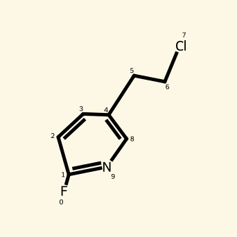 Fc1ccc(CCCl)cn1